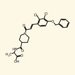 CC(NC(=O)C1CCN(C(=O)/C=C/c2ccc(OCc3ccccc3)c(Cl)c2Cl)CC1)C(=O)O